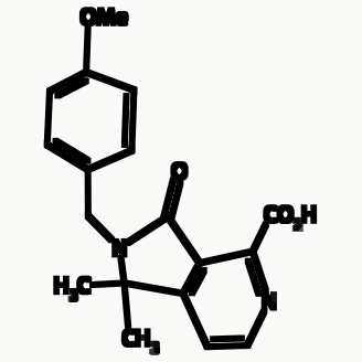 COc1ccc(CN2C(=O)c3c(ccnc3C(=O)O)C2(C)C)cc1